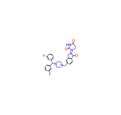 O=C1CCN(N2Cc3cc(CN4CCN(C(c5cccc(F)c5)c5cccc(F)c5)CC4)ccc3C2=O)C(=O)N1